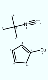 [C-]#[N+]C(C)(C)C.[Cu][C]1=CC=CC1